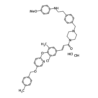 COc1ccc(NCCc2ccc(CN3CCN(C(=O)/C=C/c4cc(C)c(Oc5ccc(OCc6ccc(C)cc6)cn5)c(Cl)c4)CC3)cc2)cc1.Cl.Cl